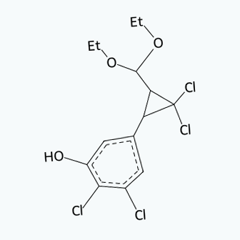 CCOC(OCC)C1C(c2cc(O)c(Cl)c(Cl)c2)C1(Cl)Cl